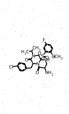 COc1ccc(F)cc1S(=O)(=O)C12CN(C(C)C)C(=O)C(Cc3ccc(Cl)cc3)N1C(=O)C(N)CN2